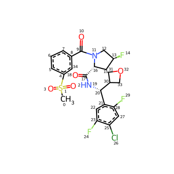 CS(=O)(=O)c1cccc(C(=O)N2C[C@@H](F)C[C@@H]2C(=O)N[C@@H](c2cc(F)c(Cl)cc2F)C2COC2)c1